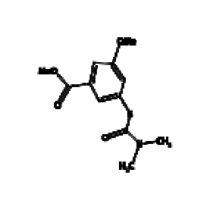 COC(=O)c1cc(OC)cc(SC(=O)N(C)C)c1